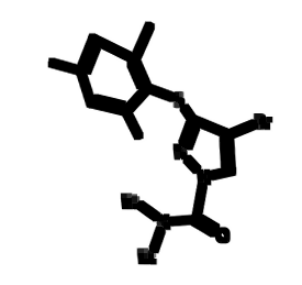 CCN(CC)C(=O)n1cc(Br)c(Sc2c(C)cc(C)cc2C)n1